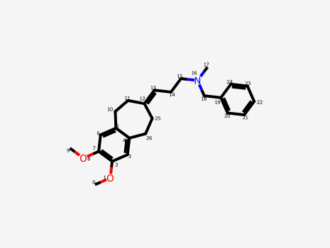 COc1cc2c(cc1OC)CCC(=CCCN(C)Cc1ccccc1)CC2